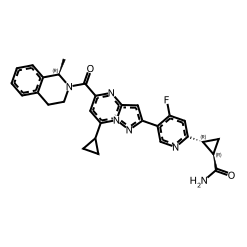 C[C@@H]1c2ccccc2CCN1C(=O)c1cc(C2CC2)n2nc(-c3cnc([C@@H]4C[C@H]4C(N)=O)cc3F)cc2n1